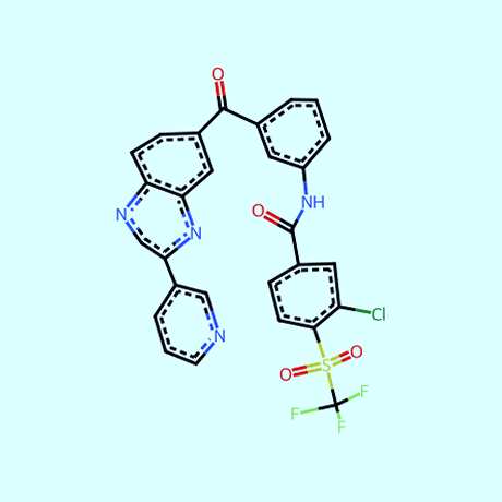 O=C(Nc1cccc(C(=O)c2ccc3ncc(-c4cccnc4)nc3c2)c1)c1ccc(S(=O)(=O)C(F)(F)F)c(Cl)c1